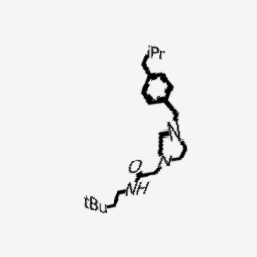 CC(C)Cc1ccc(CN2CCN(CC(=O)NCCC(C)(C)C)CC2)cc1